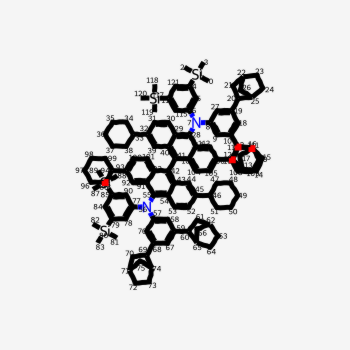 C[Si](C)(C)c1cc(N(c2cc(C3CC4CCC3C4)cc(C3CC4CCC3C4)c2)c2c3ccc(C4CCCCC4)cc3c(-c3c4cc(C5CCCCC5)ccc4c(N(c4cc(C5CC6CCC5C6)cc(C5CC6CCC5C6)c4)c4cc([Si](C)(C)C)cc([Si](C)(C)C)c4)c4cc(C5CCCCC5)ccc34)c3ccc(C4CCCCC4)cc23)cc([Si](C)(C)C)c1